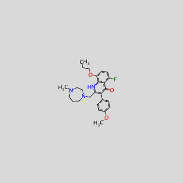 CCCOc1ccc(F)c2c(=O)c(-c3ccc(OC)cc3)c(CN3CCCN(C)CC3)[nH]c12